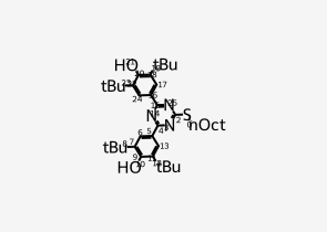 CCCCCCCCSc1nc(-c2cc(C(C)(C)C)c(O)c(C(C)(C)C)c2)nc(-c2cc(C(C)(C)C)c(O)c(C(C)(C)C)c2)n1